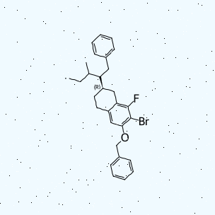 [CH2]CC(C)C(Cc1ccccc1)[C@@H]1CCc2cc(OCc3ccccc3)c(Br)c(F)c2C1